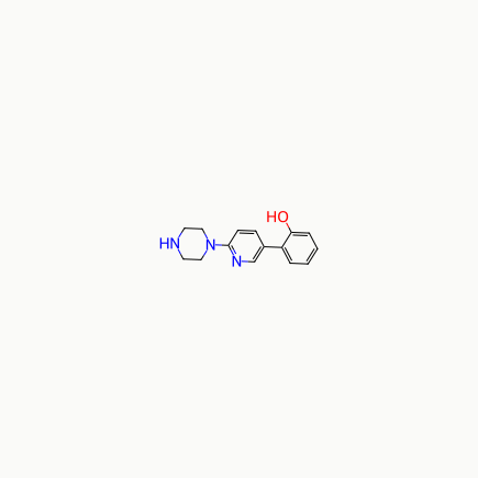 Oc1ccccc1-c1ccc(N2CCNCC2)nc1